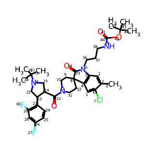 Cc1cc2c(cc1Cl)C1(CCN(C(=O)C3CN(C(C)(C)C)CC3c3ccc(F)cc3F)CC1)C(=O)N2CCCNC(=O)OC(C)(C)C